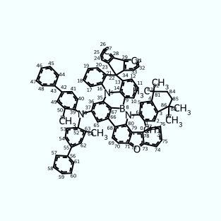 Cc1cc2c(cc1N1B3c4cccc5c4N(c4ccccc4C54c5ccccc5-c5ccccc54)c4cc(N(c5ccc(-c6ccccc6)cc5C)c5ccc(-c6ccccc6)cc5C)cc(c43)-c3ccc4oc5ccccc5c4c31)C(C)(C)CCC2(C)C